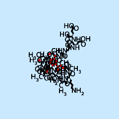 CC(C)C[C@H](NC(=O)[C@H](CC(=O)O)NC(=O)CNC(=O)[C@H](C)NC(=O)[C@H](CCCCN)NC(=O)[C@H](C)N)C(=O)N[C@H](C(=O)N[C@H](C(=O)N[C@H](C(=O)N[C@@H](CO)C(=O)N[C@@H](CC(C)C)C(=O)N1CCC[C@H]1C(=O)NCC(=O)NCC(=O)N[C@@H](CCC(=O)O)C(=O)N[C@@H](CCC(=O)O)C(=O)O)C(C)C)[C@@H](C)O)C(C)C